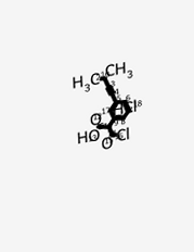 CC(C)C#Cc1cccc(C(C(=O)O)C(=O)Cl)c1.Cl